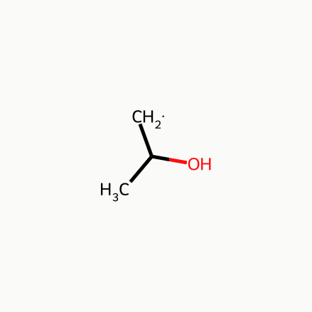 [CH2]C(C)O